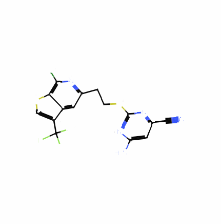 N#Cc1cc(N)nc(SCCc2cc3c(C(F)(F)F)csc3c(Cl)n2)n1